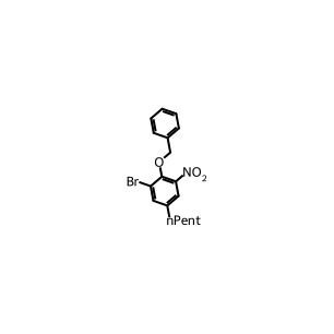 CCCCCc1cc(Br)c(OCc2ccccc2)c([N+](=O)[O-])c1